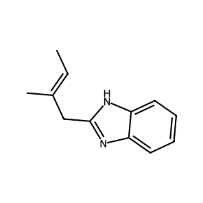 CC=C(C)Cc1nc2ccccc2[nH]1